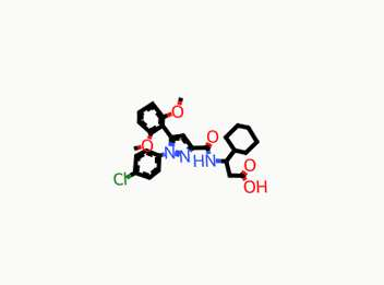 COc1cccc(OC)c1-c1cc(C(=O)NC(CC(=O)O)C2CCCCC2)nn1-c1ccc(Cl)cc1